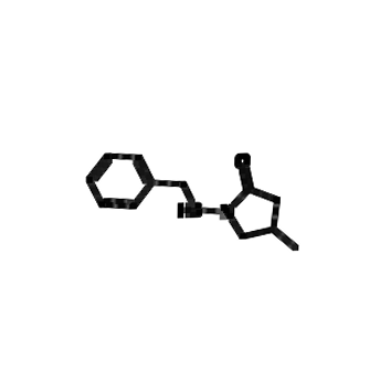 CC1CC(=O)N(BCc2ccccc2)C1